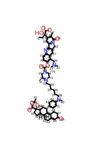 CC[C@@]1(O)C(=O)OCc2c1cc1n(c2=O)Cc2cc3c(CN(C)C)c(OC(=O)N4C[C@H](C)N(CCCCCCN(C)c5ccc([C@H]6C[C@@]7(C)[C@@H](CC[C@]7(OC(C)=O)C(C)=O)[C@@H]7CCC8=CC(=O)CCC8=C76)cc5)C[C@H]4C)ccc3nc2-1